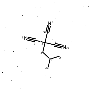 CC(C)CC(C#N)(C#N)C#N